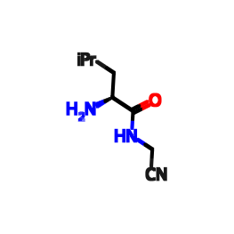 CC(C)C[C@H](N)C(=O)NCC#N